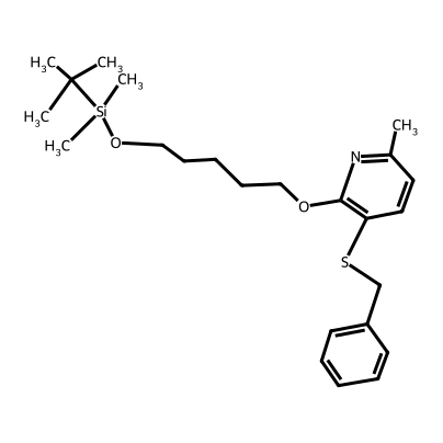 Cc1ccc(SCc2ccccc2)c(OCCCCCO[Si](C)(C)C(C)(C)C)n1